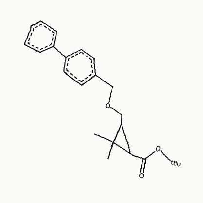 CC(C)(C)OC(=O)C1C(COCc2ccc(-c3ccccc3)cc2)C1(C)C